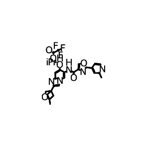 Cc1cc(-c2nc(C(=O)Nc3cn4cc(C56COC(C)(C5)C6)nc4cc3OC(C)C)co2)ccn1.O=C(O)C(F)(F)F